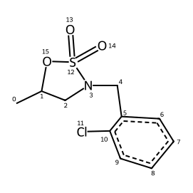 CC1CN(Cc2ccccc2Cl)S(=O)(=O)O1